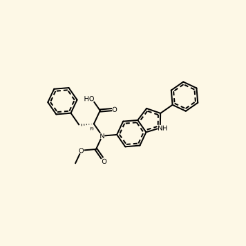 COC(=O)N(c1ccc2[nH]c(-c3ccccc3)cc2c1)[C@H](Cc1ccccc1)C(=O)O